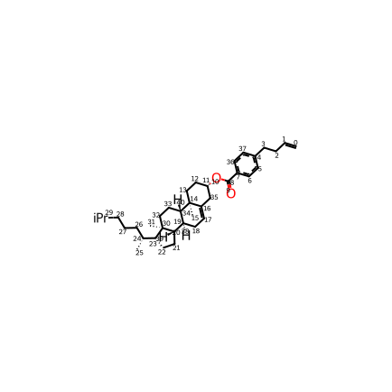 C=CCCc1ccc(C(=O)O[C@H]2CC[C@@]3(C)C(=CC[C@H]4[C@@H]5CC[C@H]([C@H](C)CCCC(C)C)[C@@]5(C)CC[C@@H]43)C2)cc1